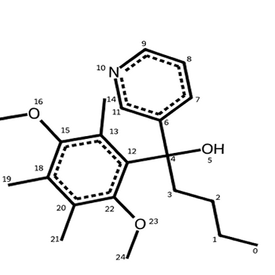 CCCCC(O)(c1cccnc1)c1c(C)c(OC)c(C)c(C)c1OC